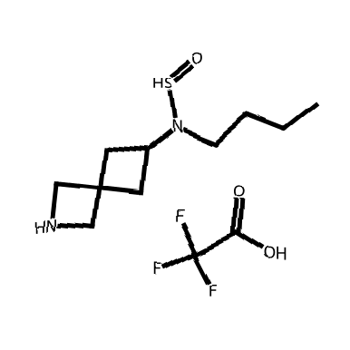 CCCCN([SH]=O)C1CC2(CNC2)C1.O=C(O)C(F)(F)F